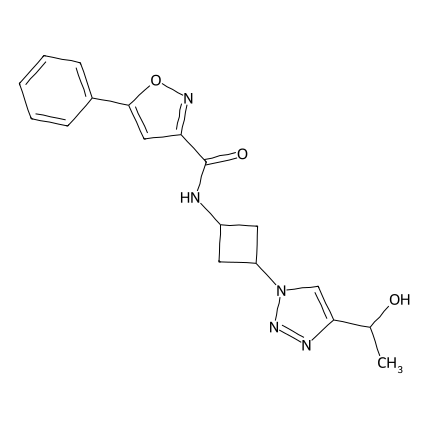 CC(O)c1cn(C2CC(NC(=O)c3cc(-c4ccccc4)on3)C2)nn1